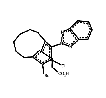 CC(C)(C)c1c(O)c(-n2nc3ccccc3n2)c2c(CCC(=O)O)c1CCCCCC2